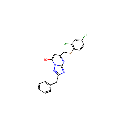 Oc1cc(CSc2ccc(Cl)cc2Cl)nc2nc(Cc3ccccc3)nn12